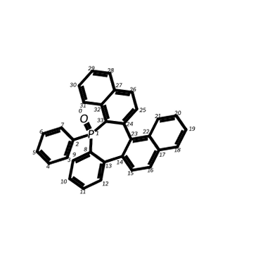 O=P1(c2ccccc2)c2ccccc2-c2ccc3ccccc3c2-c2ccc3ccccc3c21